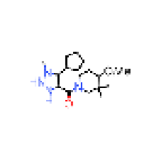 CO[C@@H]1CCN(C(=O)C2NNN(C)C2C2CCCC2)CC1(C)C